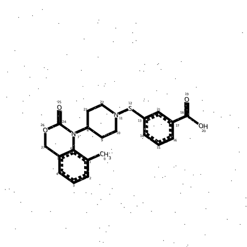 Cc1cccc2c1N(C1CCN(Sc3cccc(C(=O)O)c3)CC1)C(=O)OC2